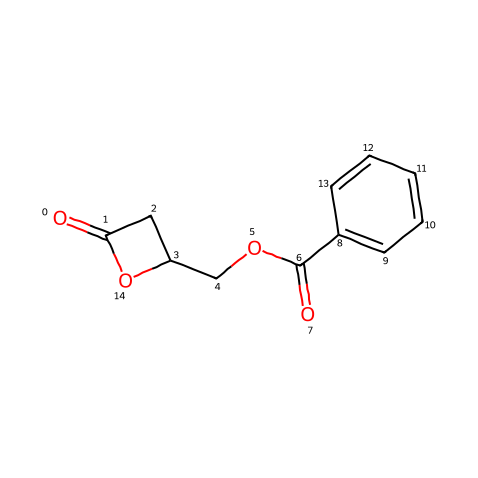 O=C1CC(COC(=O)c2ccccc2)O1